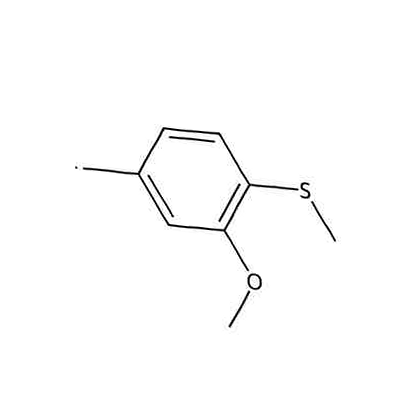 [CH2]c1ccc(SC)c(OC)c1